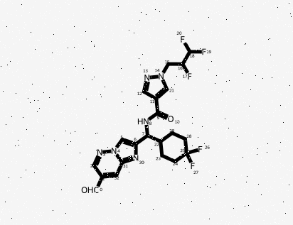 O=Cc1cnn2cc(C(NC(=O)c3cnn(CC(F)C(F)F)c3)C3CCC(F)(F)CC3)nc2c1